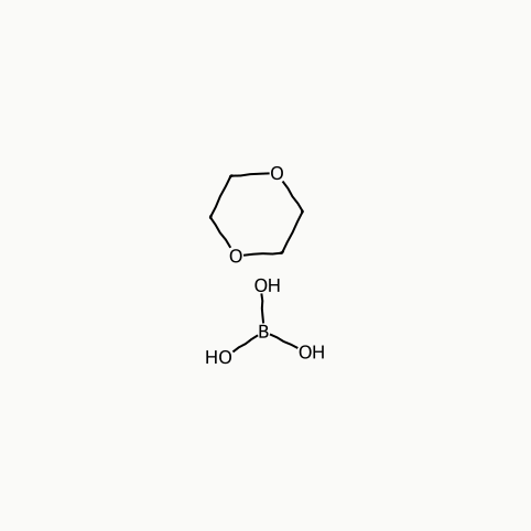 C1COCCO1.OB(O)O